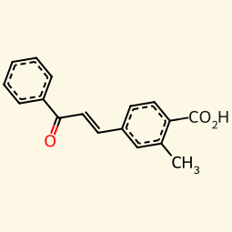 Cc1cc(C=CC(=O)c2ccccc2)ccc1C(=O)O